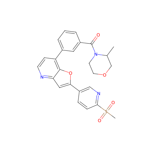 CC1COCCN1C(=O)c1cccc(-c2ccnc3cc(-c4ccc(S(C)(=O)=O)nc4)oc23)c1